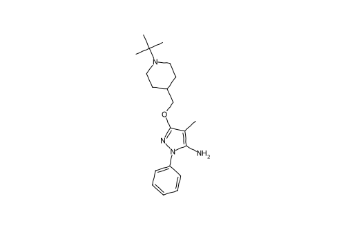 Cc1c(OCC2CCN(C(C)(C)C)CC2)nn(-c2ccccc2)c1N